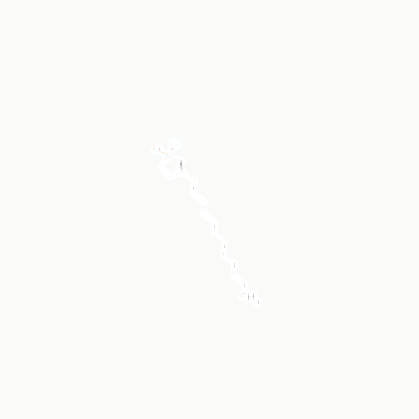 CCCCCCCCCCCCC1=CS(=O)(=O)CC1